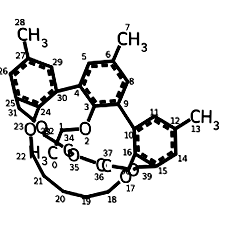 CCOc1c2cc(C)cc1-c1cc(C)cc3c1OCCCCCOc1c(cc(C)cc1-2)COCCOCCOC3